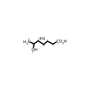 NC(O)CCCCC(=O)O.[Pd]